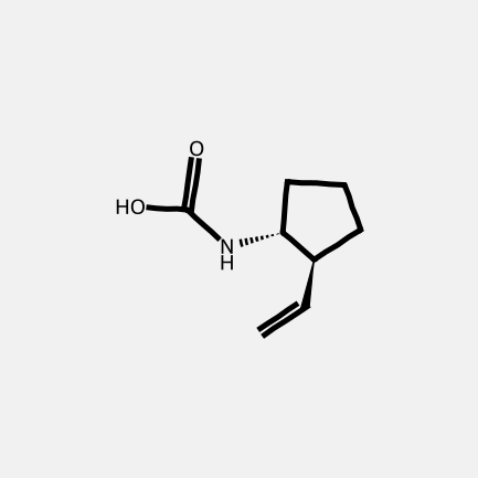 C=C[C@@H]1CCC[C@H]1NC(=O)O